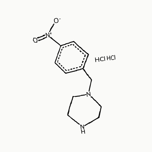 Cl.Cl.O=[N+]([O-])c1ccc(CN2CCNCC2)cc1